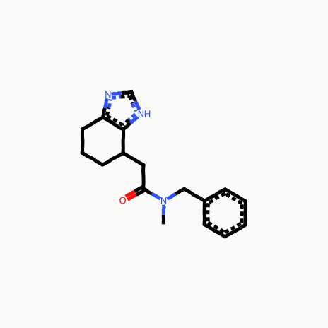 CN(Cc1ccccc1)C(=O)CC1CCCc2nc[nH]c21